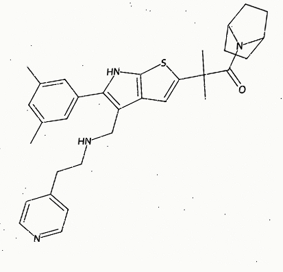 Cc1cc(C)cc(-c2[nH]c3sc(C(C)(C)C(=O)N4C5CCC4CC5)cc3c2CNCCc2ccncc2)c1